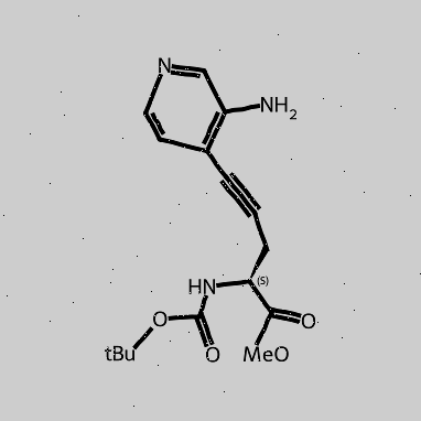 COC(=O)[C@H](CC#Cc1ccncc1N)NC(=O)OC(C)(C)C